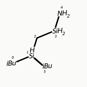 CCC(C)[SiH](C[SiH2]N)C(C)CC